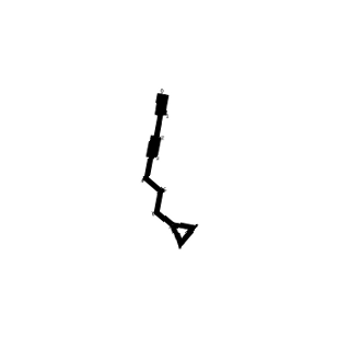 C#CC#CCCCC1[CH]C1